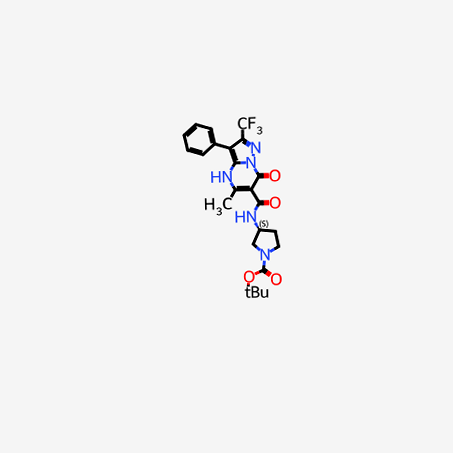 Cc1[nH]c2c(-c3ccccc3)c(C(F)(F)F)nn2c(=O)c1C(=O)N[C@H]1CCN(C(=O)OC(C)(C)C)C1